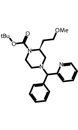 COCC[C@H]1CN(C(c2ccccc2)c2ccccn2)CCN1C(=O)OC(C)(C)C